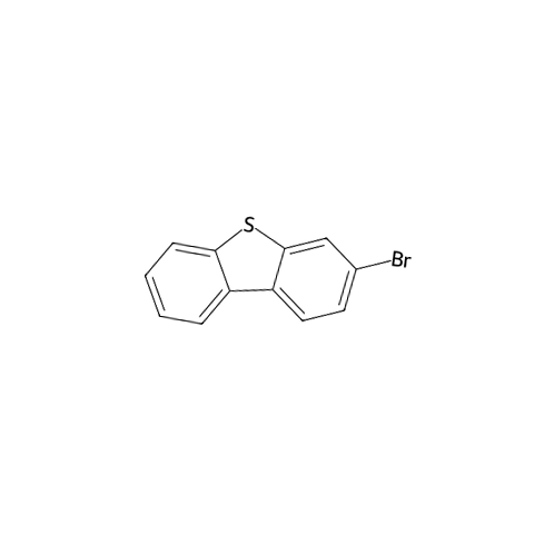 Brc1ccc2c(c1)sc1ccccc12